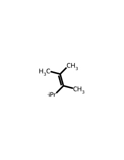 C[C](C)C(C)=C(C)C